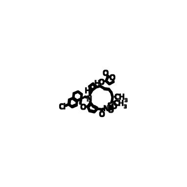 C[C@@H]1[C@@H](C)C/C=C/[C@H](O[C@@H]2CCOC2=O)[C@@H]2CC[C@H]2CN2C[C@@]3(CCCc4cc(Cl)ccc43)COc3ccc(cc32)C(=O)NS1(=O)=O